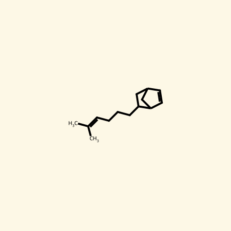 CC(C)=CCCCC1CC2C=CC1C2